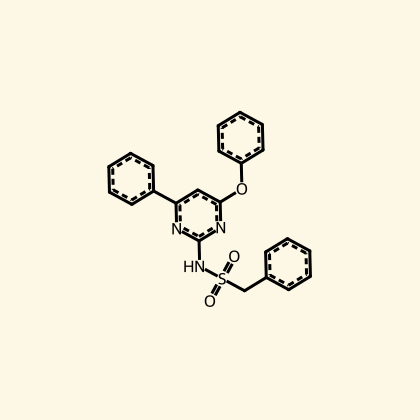 O=S(=O)(Cc1ccccc1)Nc1nc(Oc2ccccc2)cc(-c2ccccc2)n1